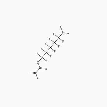 C=C(C)C(=O)OC(F)(F)C(F)(F)C(F)(F)C(F)(F)C(F)(F)C(C)F